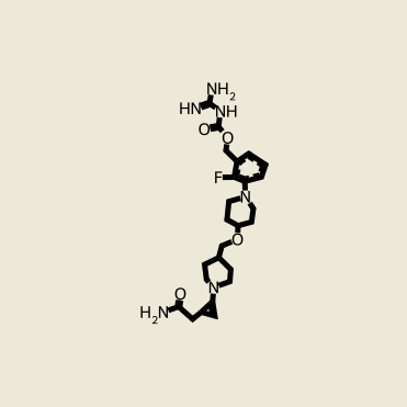 N=C(N)NC(=O)OCc1cccc(N2CCC(OCC3CCN(C4=CC4CC(N)=O)CC3)CC2)c1F